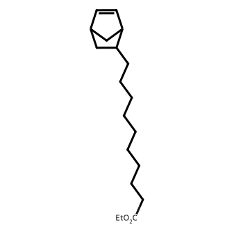 CCOC(=O)CCCCCCCCCC1CC2C=CC1C2